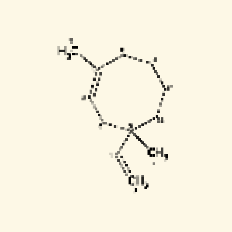 C=CC1(C)CC=C(C)CCCC1